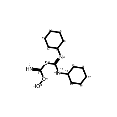 N=C(OO)SC(=NC1CCCCC1)NC1CCCCC1